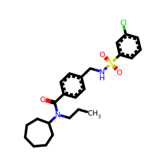 CCCN(C(=O)c1ccc(CNS(=O)(=O)c2cccc(Cl)c2)cc1)C1CCCCCC1